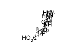 O=C(O)CCC1=CC(F)=CC(F)(c2cccc(CNC(=O)c3cccc(NC4=NCCCN4)c3)c2)C1